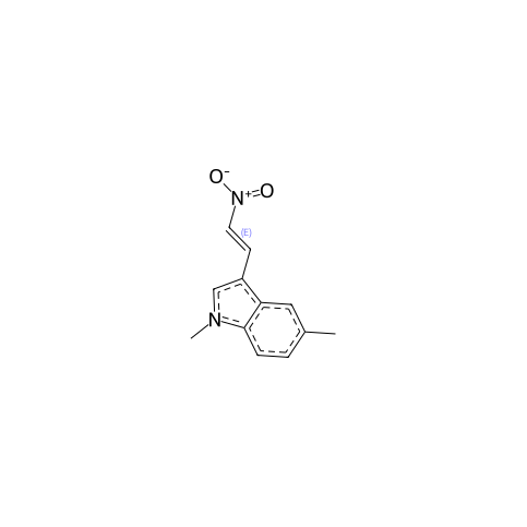 Cc1ccc2c(c1)c(/C=C/[N+](=O)[O-])cn2C